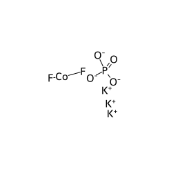 O=P([O-])([O-])[O-].[F][Co][F].[K+].[K+].[K+]